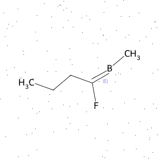 C/B=C(/F)CCC